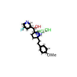 COc1ccc(CCC23CCC([C@H](O)c4cncc(F)c4)(CC2)N3)cc1.Cl.Cl